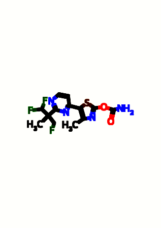 Cc1nc(OC(N)=O)sc1-c1ccnc(C(C)(CF)C(F)F)n1